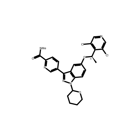 CNC(=O)c1ccc(-c2nn(C3CCCCO3)c3ccc(O[C@H](C)c4c(Cl)cncc4Cl)cc23)cn1